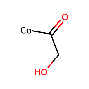 O=[C]([Co])CO